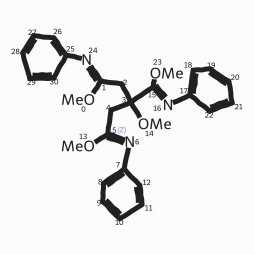 COC(CC(C/C(=N/c1ccccc1)OC)(OC)C(=Nc1ccccc1)OC)=Nc1ccccc1